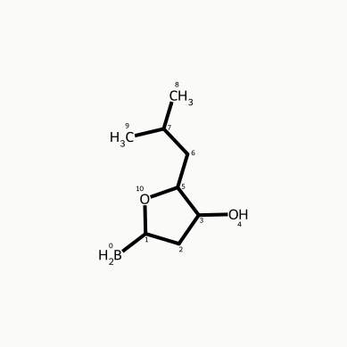 BC1CC(O)C(CC(C)C)O1